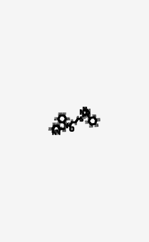 O=C(CCCSc1nnnn1C1CCCCC1)N(Cc1cccnn1)C1CCCCC1